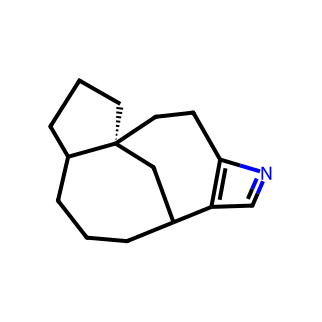 C1=NC2=C1C1CCCC3CCC[C@]3(CC2)C1